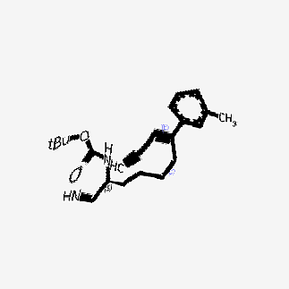 C#C/C=C(\C=C/CC[C@@H](C=N)NC(=O)OC(C)(C)C)c1cccc(C)c1